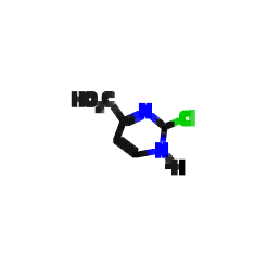 [2H]N1C=CC(C(=O)O)=NC1Cl